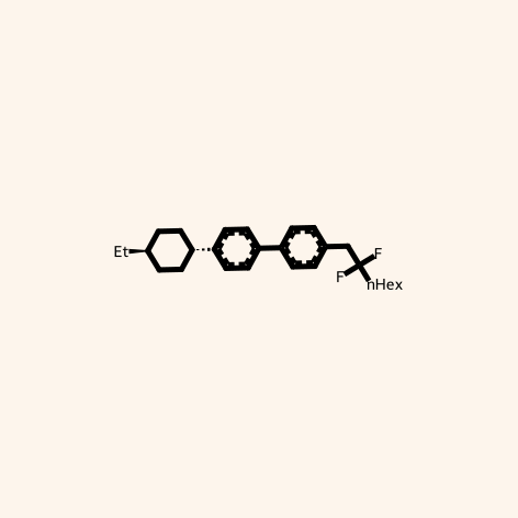 CCCCCCC(F)(F)Cc1ccc(-c2ccc([C@H]3CC[C@H](CC)CC3)cc2)cc1